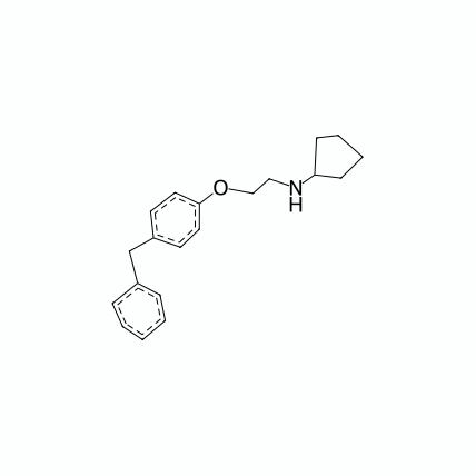 c1ccc(Cc2ccc(OCCNC3CCCC3)cc2)cc1